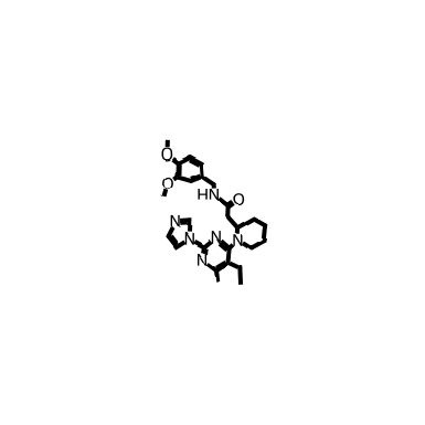 CCc1c(C)nc(-n2ccnc2)nc1N1CCCCC1CC(=O)NCc1ccc(OC)c(OC)c1